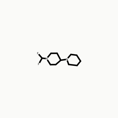 FC(F)N1CCC(N2CCCCC2)CC1